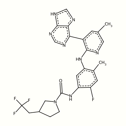 Cc1cnc(Nc2cc(NC(=O)N3CCC(CC(F)(F)F)C3)c(F)cc2C)c(-c2ncnc3[nH]cnc23)c1